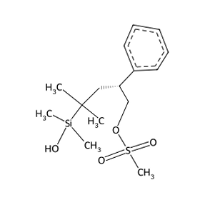 CC(C)(C[C@@H](COS(C)(=O)=O)c1ccccc1)[Si](C)(C)O